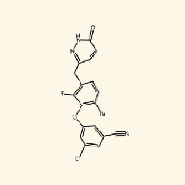 N#Cc1cc(Cl)cc(Oc2c(Br)ccc(Cc3ccc(=O)[nH]n3)c2F)c1